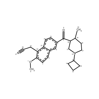 COc1ccc2cc(C(=O)C3CN(C4CCC4)CCC3C)ccc2c1CC#N